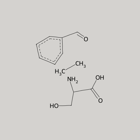 CC.NC(CO)C(=O)O.O=Cc1ccccc1